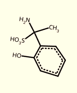 CC(N)(c1ccccc1O)S(=O)(=O)O